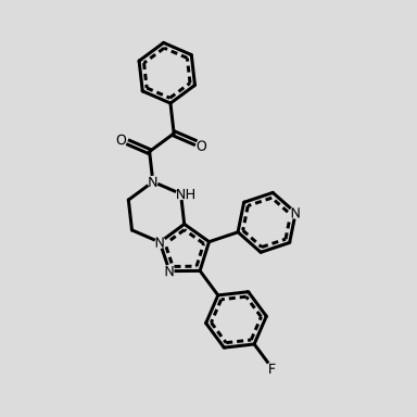 O=C(C(=O)N1CCn2nc(-c3ccc(F)cc3)c(-c3ccncc3)c2N1)c1ccccc1